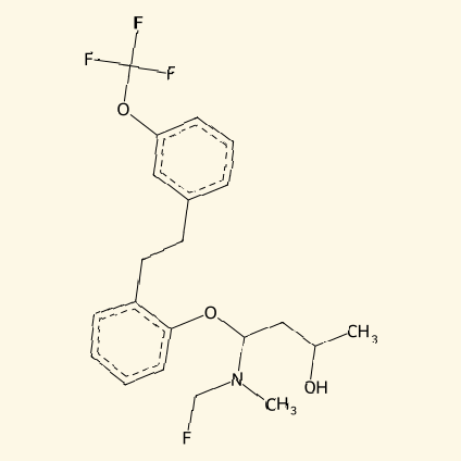 CC(O)CC(Oc1ccccc1CCc1cccc(OC(F)(F)F)c1)N(C)CF